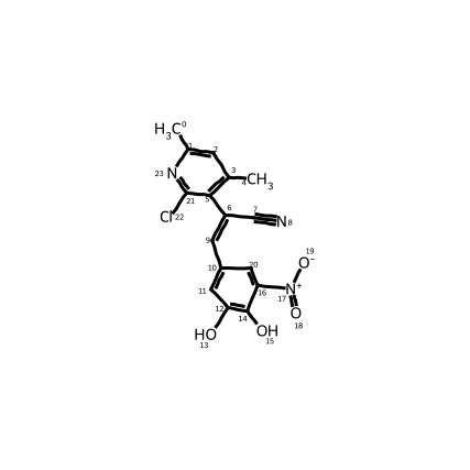 Cc1cc(C)c(C(C#N)=Cc2cc(O)c(O)c([N+](=O)[O-])c2)c(Cl)n1